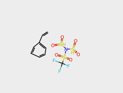 C=Cc1ccccc1.O=[SH](=O)N([SH](=O)=O)S(=O)(=O)C(F)(F)F